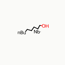 CCCCCCCCCO.[Nb]